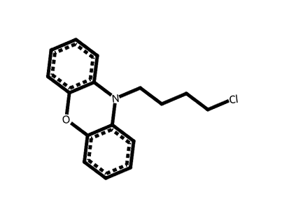 ClCCCCN1c2ccccc2Oc2ccccc21